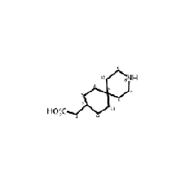 O=C(O)CC1CCC2(CCNCC2)CC1